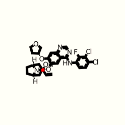 C=CC(O)N1[C@@H]2CC[C@H]1C[C@H](Oc1cc3c(Nc4ccc(Cl)c(Cl)c4F)ncnc3cc1O[C@@H]1CCOC1)C2